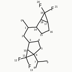 CC(CC1CCC2(C(C)C)C1C2(F)F)C1CCC2C1C2(F)F